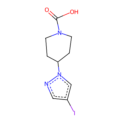 O=C(O)N1CCC(n2cc(I)cn2)CC1